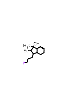 CCC1C(CCCI)C2CCC=CC2C1(C)C